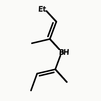 CC=C(C)BC(C)=CCC